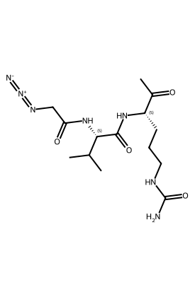 CC(=O)[C@H](CCCNC(N)=O)NC(=O)[C@@H](NC(=O)CN=[N+]=[N-])C(C)C